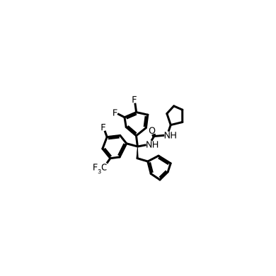 O=C(NC1CCCC1)N[C@](Cc1ccccc1)(c1cc(F)cc(C(F)(F)F)c1)c1ccc(F)c(F)c1